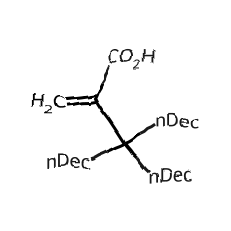 C=C(C(=O)O)C(CCCCCCCCCC)(CCCCCCCCCC)CCCCCCCCCC